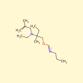 C=C(C)CN(CC)C(C)(CC)CO/C=N/CCC